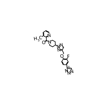 Cc1cccnc1C(=O)N1CCC(n2ncc(COc3ccc(-n4cnnn4)cc3F)n2)CC1